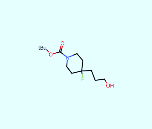 CC(C)(C)OC(=O)N1CCC(F)(CCCO)CC1